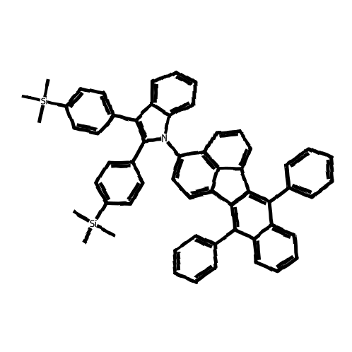 C[Si](C)(C)c1ccc(-c2c(-c3ccc([Si](C)(C)C)cc3)n(-c3ccc4c5c(cccc35)-c3c-4c(-c4ccccc4)c4ccccc4c3-c3ccccc3)c3ccccc23)cc1